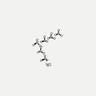 O=[N+]([O-])[O-].O=[N+]([O-])[O-].O=[N+]([O-])[O-].O=[N+]([O-])[O-].O=[N+]([O-])[O-].O=[N+]([O-])[O-].[Ce+3].[Pr+3]